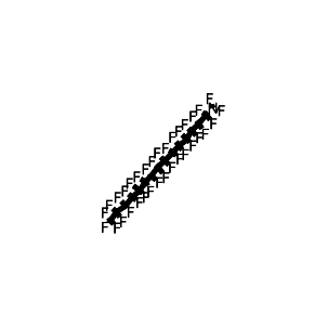 FN(F)C(F)(F)C(F)(F)C(F)(F)C(F)(F)C(F)(F)C(F)(F)C(F)(F)C(F)(F)C(F)(F)C(F)(F)C(F)(F)C(F)(F)C(F)(F)C(F)(F)C(F)(F)F